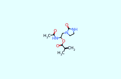 C=C(C)C(=O)OC(CN1CCNC1=O)NC(C)=O